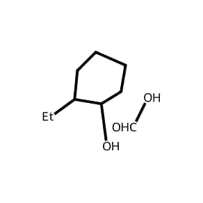 CCC1CCCCC1O.O=CO